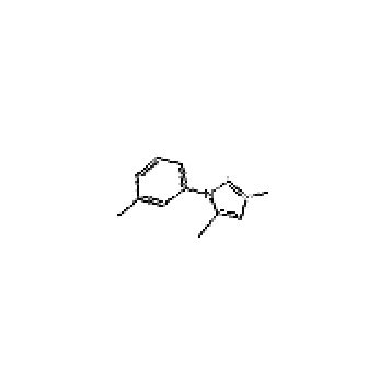 Cc1[c]n(-c2cccc(C)c2)c(C)c1